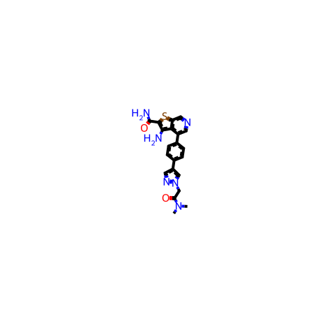 CN(C)C(=O)Cn1cc(-c2ccc(-c3cncc4sc(C(N)=O)c(N)c34)cc2)cn1